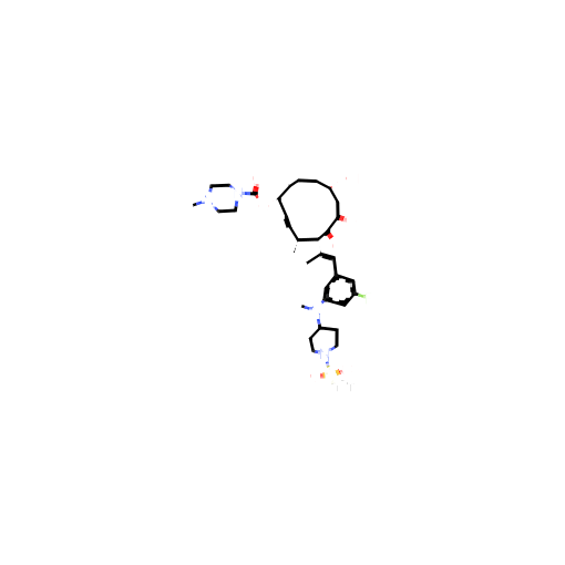 CCCS(=O)(=O)N1CCC(N(C)c2cc(F)cc(/C=C(\C)[C@H]3C(=O)C(=O)C[C@@H](O)CC[C@@H](C)[C@@H](OC(=O)N4CCN(C)CC4)/C=C/[C@@H]3C)c2)CC1